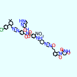 CC1(C)CCC(CN2CCN(c3ccc(C(=O)NS(=O)(=O)c4ccc(NCC5CCC(N6CCN(C(=O)CCc7cccc8c7CN(C7CCC(=O)NC7=O)C8=O)CC6)CC5)c([N+](=O)[O-])c4)c(Oc4cnc5[nH]ccc5c4)c3)CC2)=C(c2ccc(Cl)cc2)C1